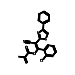 C=C(C)C(=O)O/C(=C(\C#N)c1nc(-c2ccccc2)cs1)c1ccccc1Cl